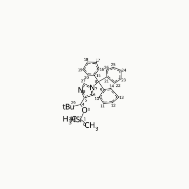 C[SiH](C)OC(c1cn(C(c2ccccc2)(c2ccccc2)c2ccccc2)cn1)C(C)(C)C